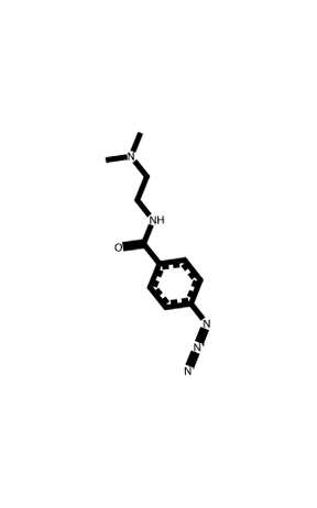 CN(C)CCNC(=O)c1ccc(N=[N+]=[N-])cc1